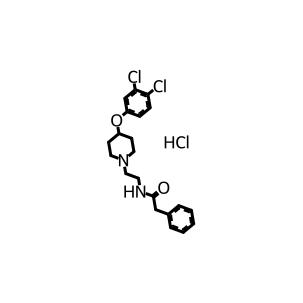 Cl.O=C(Cc1ccccc1)NCCN1CCC(Oc2ccc(Cl)c(Cl)c2)CC1